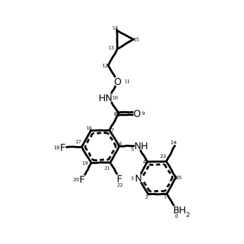 Bc1cnc(Nc2c(C(=O)NOCC3CC3)cc(F)c(F)c2F)c(C)c1